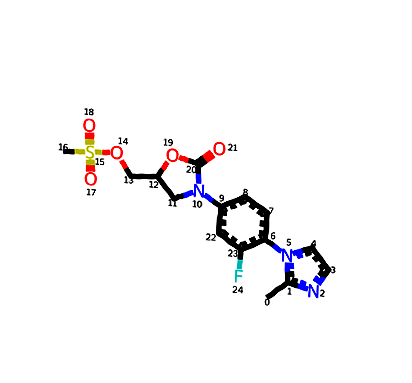 Cc1nccn1-c1ccc(N2CC(COS(C)(=O)=O)OC2=O)cc1F